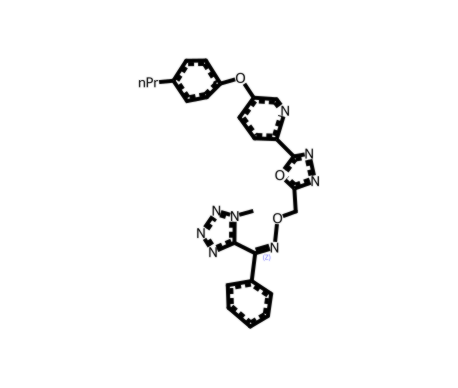 CCCc1ccc(Oc2ccc(-c3nnc(CO/N=C(/c4ccccc4)c4nnnn4C)o3)nc2)cc1